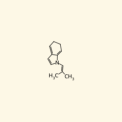 CC(C)=Cn1ccc2c1=CCCC=2